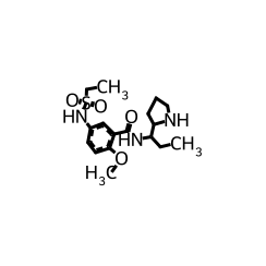 CCC(NC(=O)c1cc(NS(=O)(=O)CC)ccc1OC)C1CCCN1